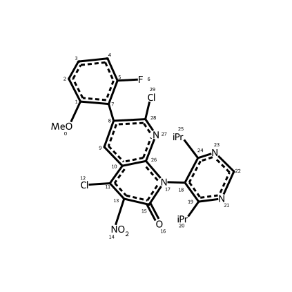 COc1cccc(F)c1-c1cc2c(Cl)c([N+](=O)[O-])c(=O)n(-c3c(C(C)C)ncnc3C(C)C)c2nc1Cl